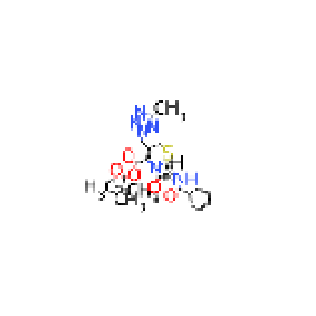 Cc1nnn(CC2=C(C(=O)OC(=O)C(C)(C)C)N3C(=O)[C@@H](NC(=O)c4ccccc4)[C@H]3SC2)n1